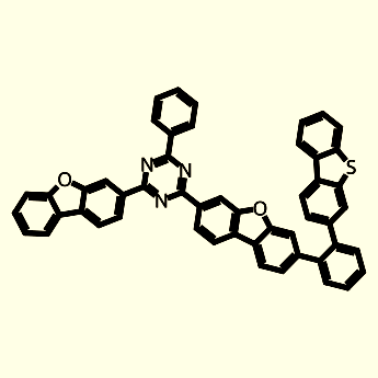 c1ccc(-c2nc(-c3ccc4c(c3)oc3ccccc34)nc(-c3ccc4c(c3)oc3cc(-c5ccccc5-c5ccc6c(c5)sc5ccccc56)ccc34)n2)cc1